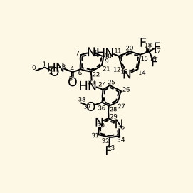 CCONC(=O)c1cnc(Nc2cncc(C(F)(F)F)c2)cc1Nc1cccc(-c2ncc(F)cn2)c1OC